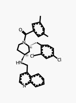 Cc1cc(C)cc(C(=O)N2CC[C@H](NCc3ccnc4ccccc34)C[C@H]2Cc2ccc(Cl)cc2Cl)c1